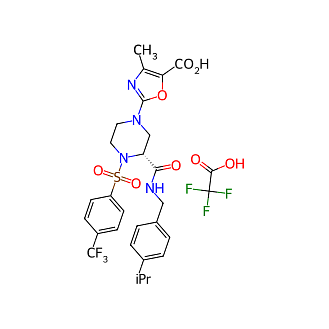 Cc1nc(N2CCN(S(=O)(=O)c3ccc(C(F)(F)F)cc3)[C@@H](C(=O)NCc3ccc(C(C)C)cc3)C2)oc1C(=O)O.O=C(O)C(F)(F)F